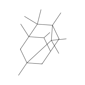 CC1C2CC3(C)CC1(C)C(C)(C)C(C)(C2)C3(C)C